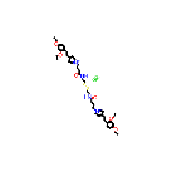 CCOc1ccc(C=Cc2cc[n+](CCCC(=O)NCCSSCCNC(=O)CCC[n+]3ccc(C=Cc4ccc(OCC)cc4OCC)cc3)cc2)c(OCC)c1.[Cl-].[Cl-]